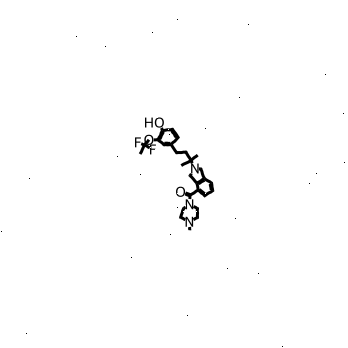 CN1CCN(C(=O)c2cccc3c2CN(C(C)(C)CCc2ccc(O)c(OC(C)(F)F)c2)C3)CC1